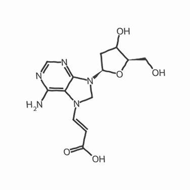 Nc1ncnc2c1N(C=CC(=O)O)CN2[C@H]1CC(O)[C@@H](CO)O1